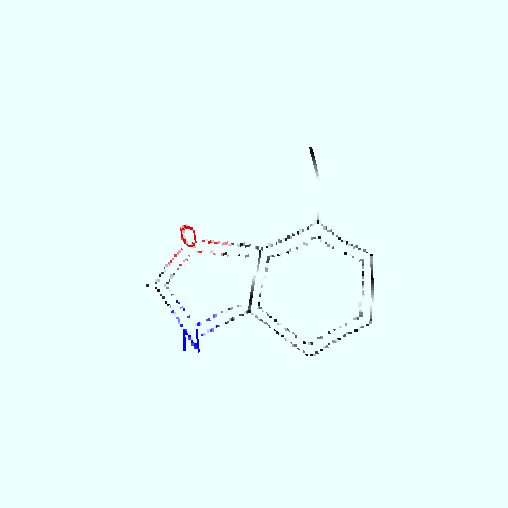 Cc1cccc2n[c]oc12